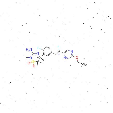 C#CCOc1cnc(/C(F)=C/c2ccc(F)c([C@@]3(C)N=C(N)N(C)S(=O)(=O)C3(C)C)c2)cn1